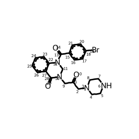 O=C(CN1CCNCC1)CN1CN(C(=O)c2ccc(Br)cc2)c2ccccc2C1=O